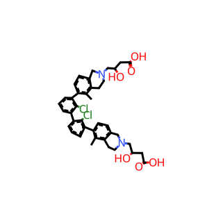 Cc1c(-c2cccc(-c3cccc(-c4ccc5c(c4C)CCN(CC(O)CC(=O)O)C5)c3Cl)c2Cl)ccc2c1CCN(CC(O)CC(=O)O)C2